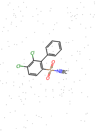 [C-]#[N+]S(=O)(=O)c1ccc(Cl)c(Cl)c1-c1ccccc1